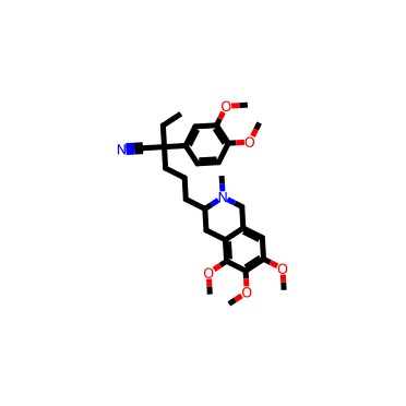 CCC(C#N)(CCCC1Cc2c(cc(OC)c(OC)c2OC)CN1C)c1ccc(OC)c(OC)c1